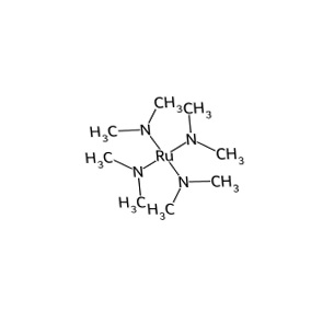 C[N](C)[Ru]([N](C)C)([N](C)C)[N](C)C